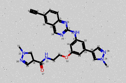 C#Cc1ccc2nc(Nc3cc(OCCNC(=O)C4C=NN(C)C4)cc(-c4cnn(C)c4)c3)ncc2c1